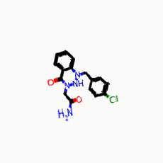 NC(=O)CN1NN(Cc2ccc(Cl)cc2)c2ccccc2C1=O